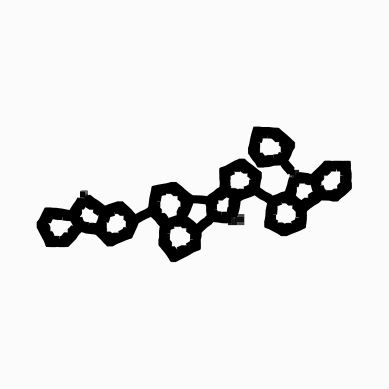 c1ccc(-n2c3ccccc3c3cccc(-c4cccc5c6c([nH]c45)-c4cccc5c(-c7ccc8c(c7)sc7ccccc78)ccc-6c45)c32)cc1